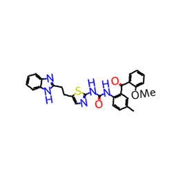 COc1ccccc1C(=O)c1cc(C)ccc1NC(=O)Nc1ncc(CCc2nc3ccccc3[nH]2)s1